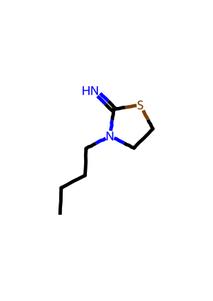 CCCCN1CCSC1=N